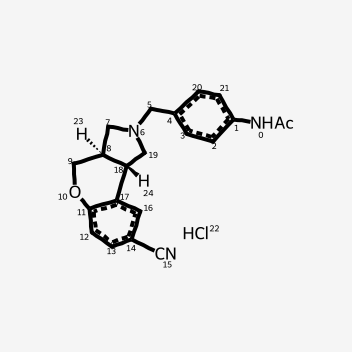 CC(=O)Nc1ccc(CN2C[C@@H]3COc4ccc(C#N)cc4[C@H]3C2)cc1.Cl